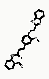 COc1cc(/C=C/C(=O)Nc2ccccc2C=O)ccc1OCc1nc2ccccc2[nH]1